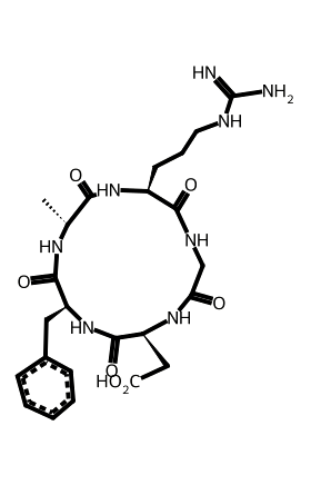 C[C@H]1NC(=O)[C@H](Cc2ccccc2)NC(=O)[C@H](CC(=O)O)NC(=O)CNC(=O)[C@H](CCCNC(=N)N)NC1=O